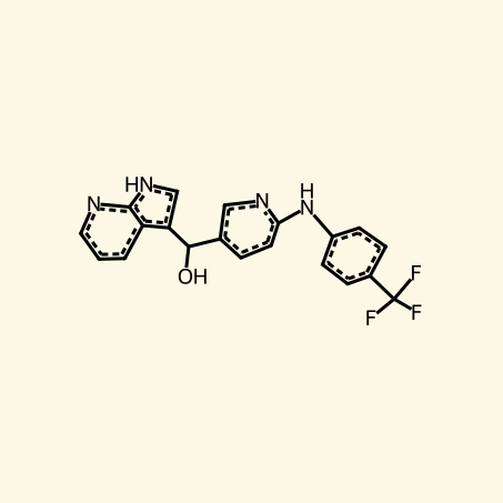 OC(c1ccc(Nc2ccc(C(F)(F)F)cc2)nc1)c1c[nH]c2ncccc12